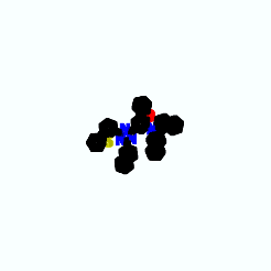 c1ccc2cc(-c3nc(-c4cc(-n5c6cc7ccccc7cc6c6c7ccccc7ccc65)c5oc6ccccc6c5c4)nc(-c4cccc5c4sc4ccccc45)n3)ccc2c1